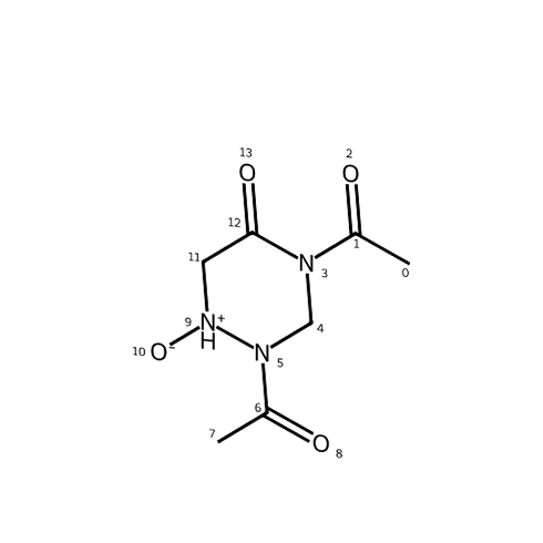 CC(=O)N1CN(C(C)=O)[NH+]([O-])CC1=O